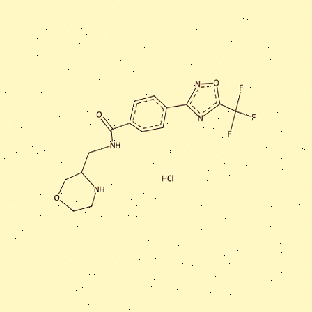 Cl.O=C(NCC1COCCN1)c1ccc(-c2noc(C(F)(F)F)n2)cc1